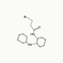 O=C(CCBr)Nc1ccccc1Nc1ccccc1